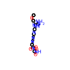 Nc1ncnc2c1c(-c1ccc(Oc3ccccc3)cc1)nn2C1CCC(N2CCC3(CC2)CN(C2CN(c4ccc5c(c4)C(=O)N(C4CCC(=O)NC4=O)C5=O)C2)C3)CC1